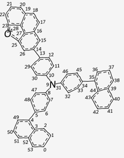 c1ccc2c(-c3ccc(N(c4ccc(-c5cc6ccc7cccc8oc(c5)c6c78)cc4)c4ccc(-c5cccc6ccccc56)cc4)cc3)cccc2c1